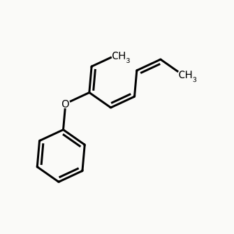 C\C=C/C=C\C(=C/C)Oc1ccccc1